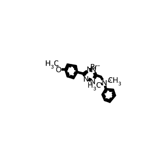 COc1ccc(-c2nnc(C[N+](C)(C)c3ccccc3)nn2)cc1.[Br-]